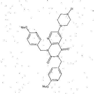 CCN1CCN(c2cnc3c(c2)c(=O)n(Cc2ccc(OC)cc2)c(=O)n3Cc2ccc(OC)cc2)CC1